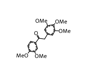 COc1ccc(C(=O)Cc2cc(OC)c(OC)c(OC)c2)cc1OC